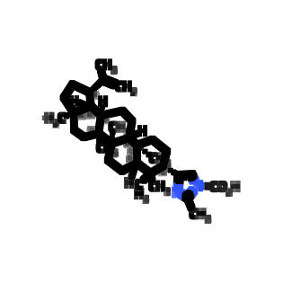 [CH2][C@]12CC[C@@H](C(=C)C)[C@@H]1[C@H]1CC[C@@H]3[C@@]4(C)CC[C@H](c5cn(C(=O)O)c(C)n5)C(C)(C)[C@@H]4CC[C@@]3(C)[C@]1(C)CC2